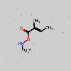 CC=C(C)C(=O)ONC(=O)O